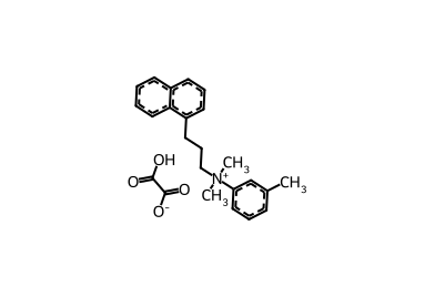 Cc1cccc([N+](C)(C)CCCc2cccc3ccccc23)c1.O=C([O-])C(=O)O